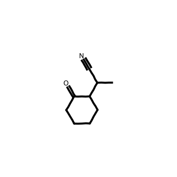 CC(C#N)C1CCCCC1=O